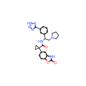 O=C(NC(CN1CCCC1)c1cccc(-c2nn[nH]n2)c1)C1(c2ccc3oc(=O)[nH]c3c2)CC1